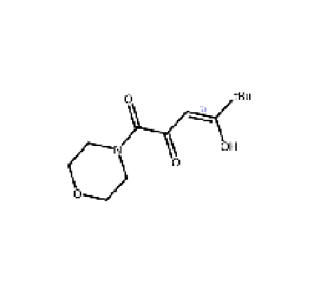 CC(C)(C)/C(O)=C/C(=O)C(=O)N1CCOCC1